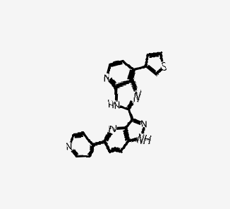 c1cc(-c2ccc3[nH]nc(-c4nc5c(-c6ccsc6)ccnc5[nH]4)c3n2)ccn1